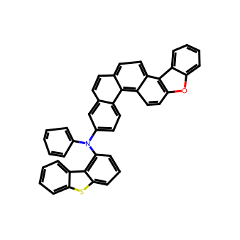 c1ccc(N(c2ccc3c(ccc4ccc5c(ccc6oc7ccccc7c65)c43)c2)c2cccc3sc4ccccc4c23)cc1